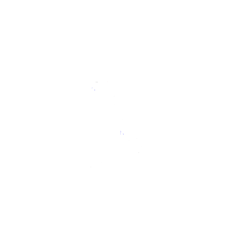 c1ccc(-c2ccc(N(c3cccc(-c4cccc5ccccc45)c3)c3cccc4c3oc3cc5nc(-c6ccccc6)oc5cc34)cc2)cc1